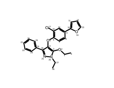 CCOc1c(Oc2ccc(-c3ccco3)cc2Cl)c(-c2ccccc2)nn1CC